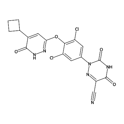 N#Cc1nn(-c2cc(Cl)c(Oc3cc(C4CCC4)c(=O)[nH]n3)c(Cl)c2)c(=O)[nH]c1=O